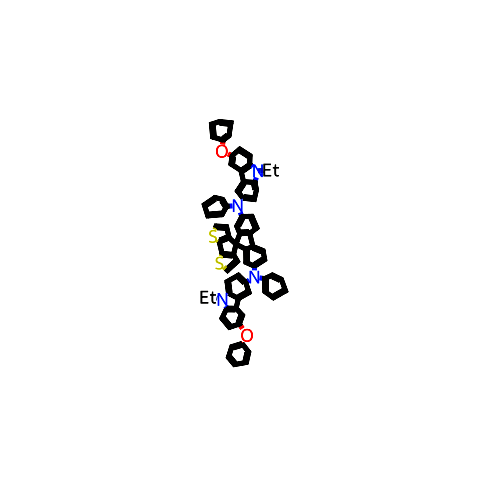 CCn1c2ccc(Oc3ccccc3)cc2c2cc(N(c3ccccc3)c3ccc4c(c3)C3(c5cc(N(c6ccccc6)c6ccc7c(c6)c6cc(Oc8ccccc8)ccc6n7CC)ccc5-4)c4ccsc4-c4sccc43)ccc21